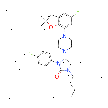 CCCCN1CC(N2CCN(c3cc(F)cc4c3OC(C)(C)C4)CC2)N(c2ccc(F)cc2)C1=O